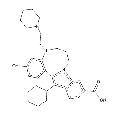 O=C(O)c1ccc2c(C3CCCCC3)c3n(c2c1)CCCN(CCN1CCCCC1)c1cc(Cl)ccc1-3